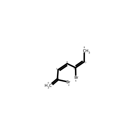 C=C(Br)/C=C\C(Br)=C/C